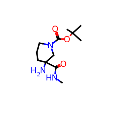 CNC(=O)C1(N)CCCN(C(=O)OC(C)(C)C)C1